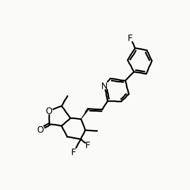 CC1OC(=O)C2CC(F)(F)C(C)[C@H](/C=C/c3ccc(-c4cccc(F)c4)cn3)C12